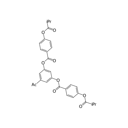 CC(=O)c1cc(OC(=O)c2ccc(OC(=O)C(C)C)cc2)cc(OC(=O)c2ccc(OC(=O)C(C)C)cc2)c1